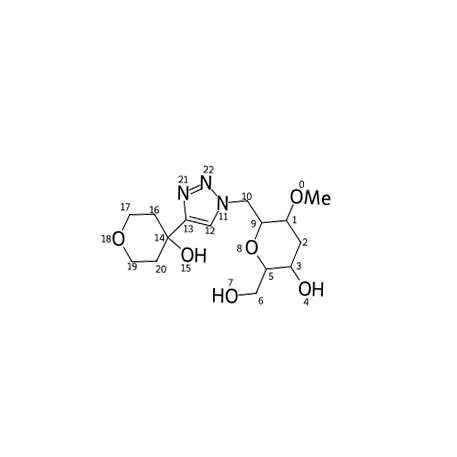 COC1CC(O)C(CO)OC1Cn1cc(C2(O)CCOCC2)nn1